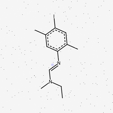 CCN(C)/C=N/c1cc(C)c(I)cc1C